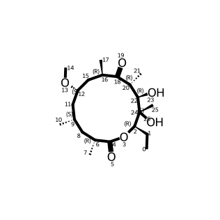 CC[C@H]1OC(=O)[C@H](C)C[C@H](C)C[C@H](OC)C[C@@H](C)C(=O)[C@H](C)[C@@H](O)[C@]1(C)O